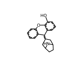 Oc1cccc2c1Oc1ccccc1C2=C1CC2CCC(C1)N2